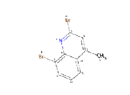 Cc1cc(Br)nc2c(Br)cccc12